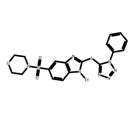 CCn1c(Sc2nnnn2-c2ccccc2)nc2cc(S(=O)(=O)N3CCOCC3)ccc21